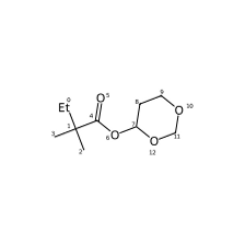 CCC(C)(C)C(=O)OC1CCOCO1